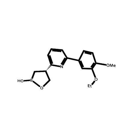 CCOc1cc(-c2cccc([C@@H]3COB(O)C3)n2)ccc1OC